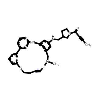 CC#CC(=O)N1CCC(CNc2cc3cc(c2)Nc2nccc(n2)-c2cccc(c2)OCC/C=C/CN(C)C3)C1